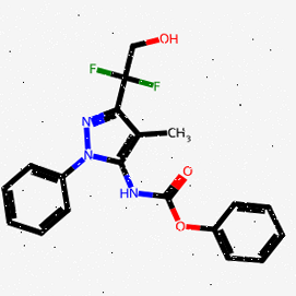 Cc1c(C(F)(F)CO)nn(-c2ccccc2)c1NC(=O)Oc1ccccc1